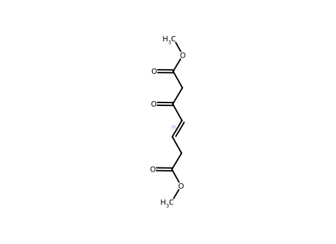 COC(=O)C/C=C/C(=O)CC(=O)OC